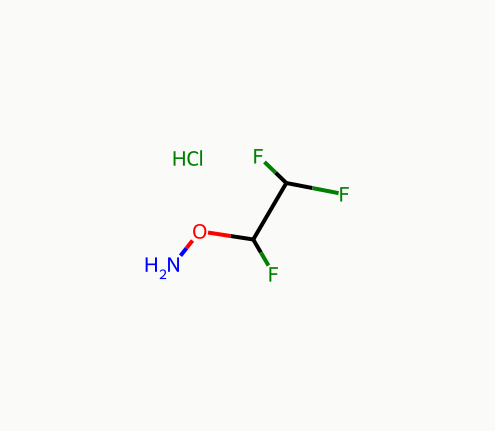 Cl.NOC(F)C(F)F